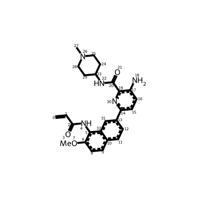 C=CC(=O)Nc1c(OC)ccc2ccc(-c3ccc(N)c(C(=O)NC4CCN(C)CC4)n3)cc12